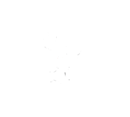 CC#C[C@H](C)P(Oc1ccccc1)Oc1ccccc1